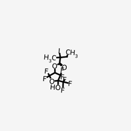 CCC(C)(I)C(=O)OC1C(F)(F)OC(O)(C(F)(F)F)C1(F)F